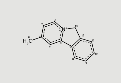 Cc1cc[n+]2c(c1)-c1ccccc1C2